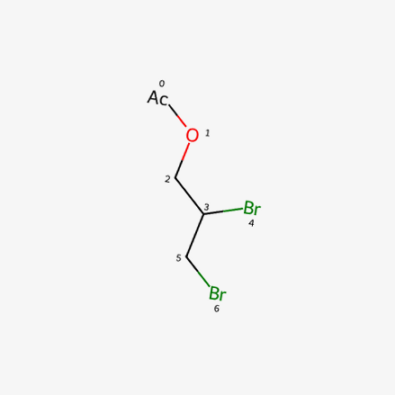 CC(=O)OCC(Br)CBr